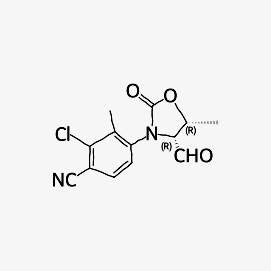 Cc1c(N2C(=O)O[C@H](C)[C@@H]2C=O)ccc(C#N)c1Cl